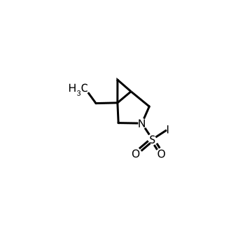 CCC12CC1CN(S(=O)(=O)I)C2